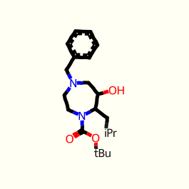 CC(C)CC1C(O)CN(Cc2ccccc2)CCN1C(=O)OC(C)(C)C